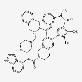 Cc1c(C(=O)N(C)c2ccccc2)cc(-c2cc3c(cc2C(=O)N2Cc4ccccc4C[C@H]2CN2CCOCC2)CN(C(=O)Oc2ccnc4[nH]ccc24)CC3)n1C